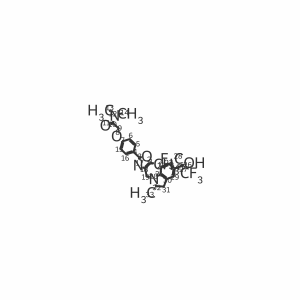 Cc1oc(-c2ccc(OCC(=O)N(C)C)cc2)nc1CN1c2ccc(C(O)(C(F)(F)F)C(F)(F)F)cc2CC1C